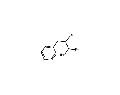 CCC([C](Cc1ccncc1)C(C)C)C(C)C